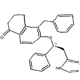 O=C1CCCc2c1ccc(O[C@@H](Cc1ncc[nH]1)c1ccccc1)c2Cc1ccccc1